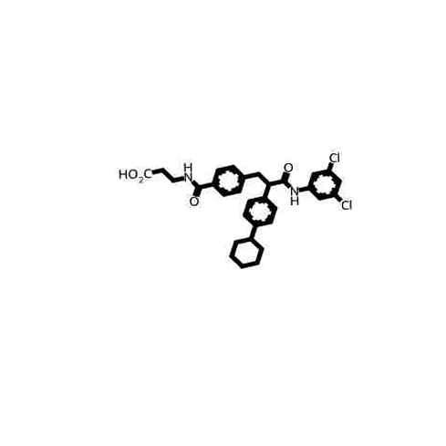 O=C(O)CCNC(=O)c1ccc(CC(C(=O)Nc2cc(Cl)cc(Cl)c2)c2ccc(C3CCCCC3)cc2)cc1